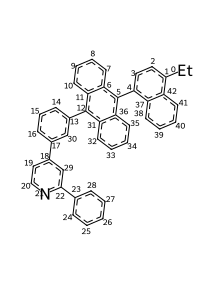 CCc1ccc(-c2c3ccccc3c(-c3cccc(-c4ccnc(-c5ccccc5)c4)c3)c3ccccc23)c2ccccc12